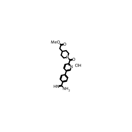 COC(=O)CC1CCN(C(=O)c2ccc(-c3ccc(C(=N)N)cc3)cn2)CC1.Cl